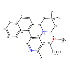 Cc1ncc(-c2cccc3ccccc23)c(N2CCC(C)(C)CC2)c1C(OC(C)(C)C)C(=O)O